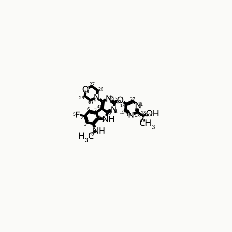 CNc1cc(F)cc2c1[nH]c1nc(Oc3cnc([C@@H](C)O)nc3)nc(N3CCOCC3)c12